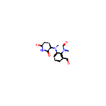 CN(C=O)c1c(C=O)cccc1N(C)C1CCC(=O)NC1=O